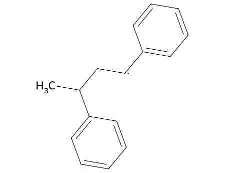 CC(C[CH]c1ccccc1)c1ccccc1